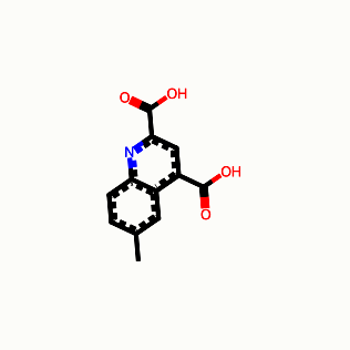 Cc1ccc2nc(C(=O)O)cc(C(=O)O)c2c1